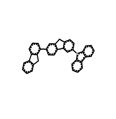 c1ccc2c(c1)Cc1c(-c3ccc4c(c3)Cc3ccc(-n5c6ccccc6c6ccccc65)cc3-4)cccc1-2